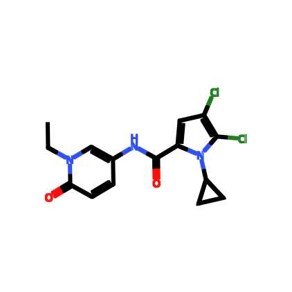 CCn1cc(NC(=O)c2cc(Cl)c(Cl)n2C2CC2)ccc1=O